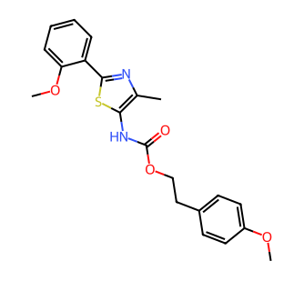 COc1ccc(CCOC(=O)Nc2sc(-c3ccccc3OC)nc2C)cc1